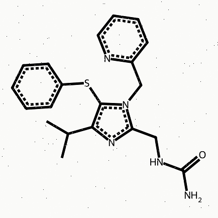 CC(C)c1nc(CNC(N)=O)n(Cc2ccccn2)c1Sc1ccccc1